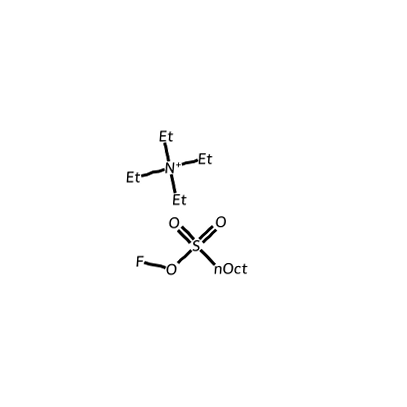 CCCCCCCCS(=O)(=O)OF.CC[N+](CC)(CC)CC